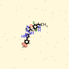 Cc1cc2c(F)c(Oc3ncnc(Nc4cc(-c5ccc6c(c5)OCO6)[nH]n4)c3C#N)cc(F)c2[nH]1